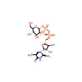 C=C1NC(=O)C(C)=CN1[C@@H]1O[C@H](COP(=O)(O)OP(=O)(O)O[C@H]2OC(CO)[C@@H](O)[C@H](O)C2S)C(O)[C@@H]1O